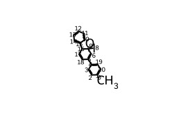 Cc1ccc(C2=CC3(I)Oc4ccccc4C3C=C2)cc1